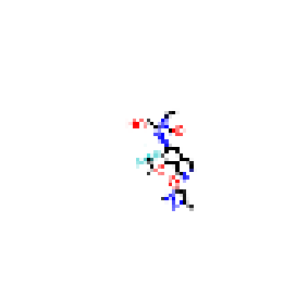 CCn1c(CO)nn(-c2cc(O[C@@H](C)C(F)(F)F)c3c(Oc4cc(C)nn4C)nccc3c2)c1=O